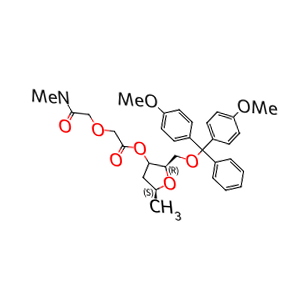 CNC(=O)COCC(=O)OC1C[C@H](C)O[C@@H]1COC(c1ccccc1)(c1ccc(OC)cc1)c1ccc(OC)cc1